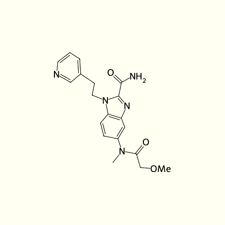 COCC(=O)N(C)c1ccc2c(c1)nc(C(N)=O)n2CCc1cccnc1